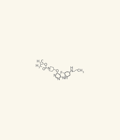 CCCNc1ccc(Nc2cc(OC3CCN(C(=O)OC(C)C)CC3)ncn2)c(F)c1